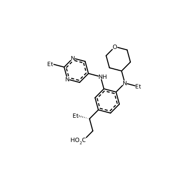 CCc1ncc(Nc2cc([C@@H](CC)CC(=O)O)ccc2N(CC)C2CCOCC2)cn1